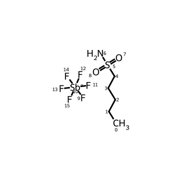 CCCCCS(N)(=O)=O.[F][Sb-]([F])([F])([F])([F])[F]